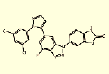 O=c1[nH]c2ccc(-n3nnc4c(F)cc(-c5ccnn5-c5cc(Cl)cc(Cl)c5)cc43)cc2[nH]1